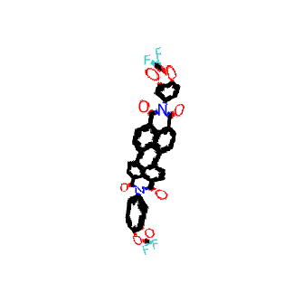 O=C1c2ccc3c4ccc5c6c(ccc(c7ccc(c2c37)C(=O)N1c1ccc2c(c1)OC(F)(F)O2)c64)C(=O)N(c1ccc2c(c1)OC(F)(F)O2)C5=O